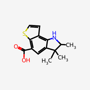 CC1Nc2c(cc(C(=O)O)c3sccc23)C1(C)C